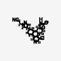 N#CCCn1cc(-c2ccc(-c3cncc(Cl)c3N3CCC4(CC3)CNC(=O)O4)cc2)cn1